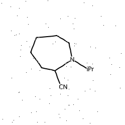 CC(C)N1CCCCCC1C#N